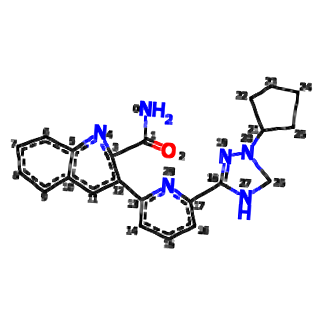 NC(=O)c1nc2ccccc2cc1-c1cccc(C2=NN(C3CCCC3)CN2)n1